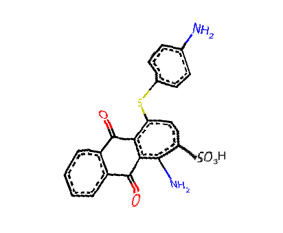 Nc1ccc(Sc2cc(S(=O)(=O)O)c(N)c3c2C(=O)c2ccccc2C3=O)cc1